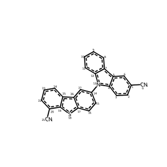 N#Cc1ccc2c(c1)c1ccccc1n2-c1ccc2sc3c(C#N)cccc3c2c1